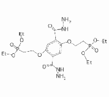 CCOP(=O)(CCOc1cc(C(=O)NN)c(OCCP(=O)(OCC)OCC)cc1C(=O)NN)OCC